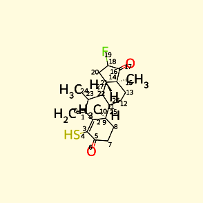 C=C1C2=C(S)C(=O)CC[C@]2(C)[C@@H]2CC[C@]3(C)C(=O)C(F)C[C@H]3[C@@H]2C1C